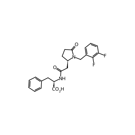 O=C(C[C@H]1CCC(=O)N1Cc1cccc(F)c1F)N[C@H](Cc1ccccc1)C(=O)O